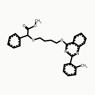 COC(=O)C(OCCCCOc1nc(-c2ccccc2C)nc2ccccc12)c1ccccc1